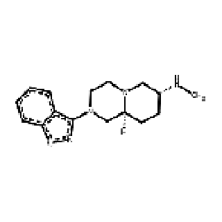 CN[C@@H]1CC[C@H]2CN(c3noc4ccccc34)CCN2C1